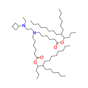 CCCCCCCCC(CCCCCC)C(CCC)OC(=O)CCCCCN(CCCCCC(=O)OC(CCC)C(CCCCCC)CCCCCCCC)CCN(CC)C1CCC1